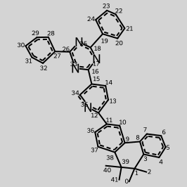 CC1(C)c2ccccc2-c2cc(-c3ccc(-c4nc(-c5ccccc5)nc(-c5ccccc5)n4)cn3)ccc2C1(C)C